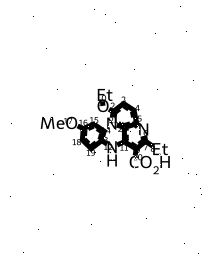 CCOc1ccc2nc(CC)c(C(=O)O)c(Nc3ccc(OC)cc3)c2n1